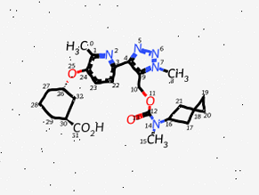 Cc1nc(-c2nnn(C)c2COC(=O)N(C)C2CC3(CC3)C2)ccc1O[C@H]1CCC[C@H](C(=O)O)C1